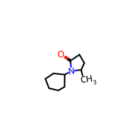 CC1CCC(=O)N1C1CCCCC1